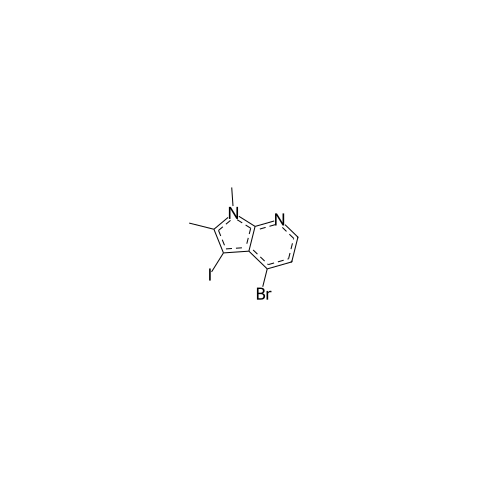 Cc1c(I)c2c(Br)ccnc2n1C